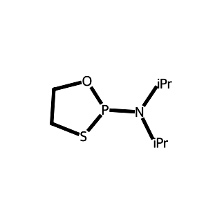 CC(C)N(C(C)C)P1OCCS1